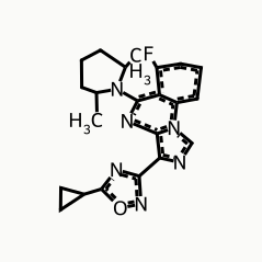 CC1CCCC(C)N1c1nc2c(-c3noc(C4CC4)n3)ncn2c2cccc(F)c12